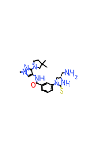 Cn1cc(NC(=O)c2cccc(N3C[C@@H](CN)NC3=S)c2)c(N2CCC(C)(C)C2)n1